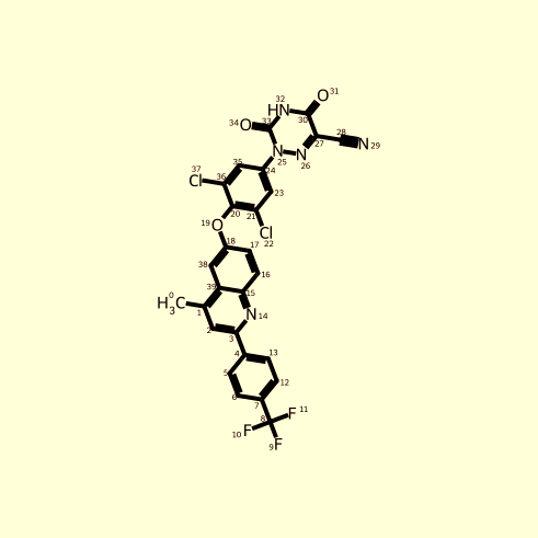 Cc1cc(-c2ccc(C(F)(F)F)cc2)nc2ccc(Oc3c(Cl)cc(-n4nc(C#N)c(=O)[nH]c4=O)cc3Cl)cc12